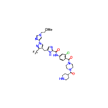 COCCn1cnc(-n2cc(Cc3cnc(C(=O)Nc4ccc(C(=O)N5CCN(C(=O)C6CCNCC6)CC5)c(Cl)c4)[nH]3)c(C(F)(F)F)n2)c1